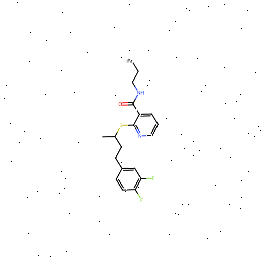 CC(C)CCNC(=O)c1cccnc1SC(C)CCc1ccc(F)c(F)c1